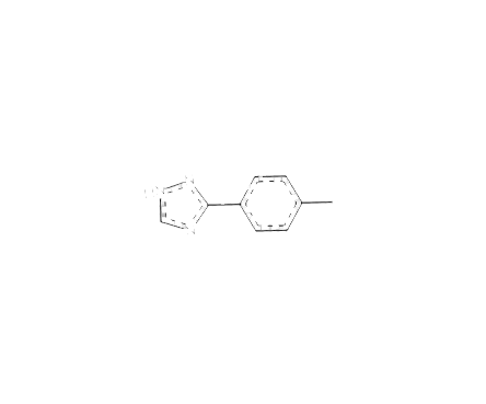 [CH2]c1ccc(-c2nc[nH]n2)cc1